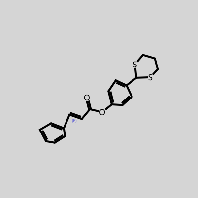 O=C(/C=C/c1ccccc1)Oc1ccc(C2SCCCS2)cc1